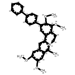 COc1cc2cc3c4cc(-c5ccc(-c6ccccc6)cc5)c(OC)c(OC)c4cc[n+]3c(C)c2cc1OC